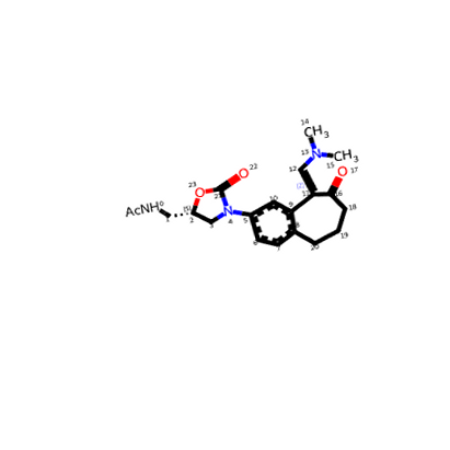 CC(=O)NC[C@H]1CN(c2ccc3c(c2)/C(=C/N(C)C)C(=O)CCC3)C(=O)O1